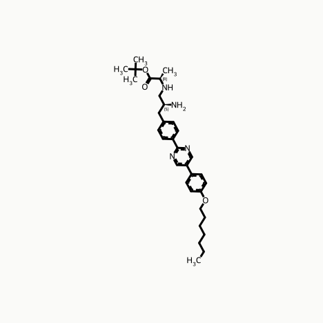 CCCCCCCOc1ccc(-c2cnc(-c3ccc(C[C@H](N)CN[C@H](C)C(=O)OC(C)(C)C)cc3)nc2)cc1